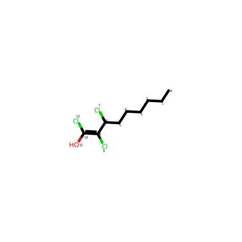 CCCCCCC(Cl)C(Cl)=C(O)Cl